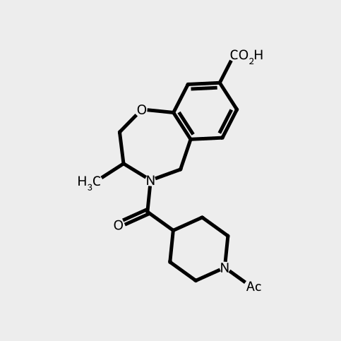 CC(=O)N1CCC(C(=O)N2Cc3ccc(C(=O)O)cc3OCC2C)CC1